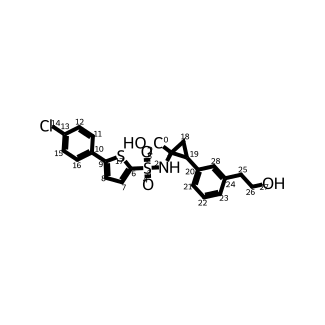 O=C(O)C1(NS(=O)(=O)c2ccc(-c3ccc(Cl)cc3)s2)CC1c1cccc(CCO)c1